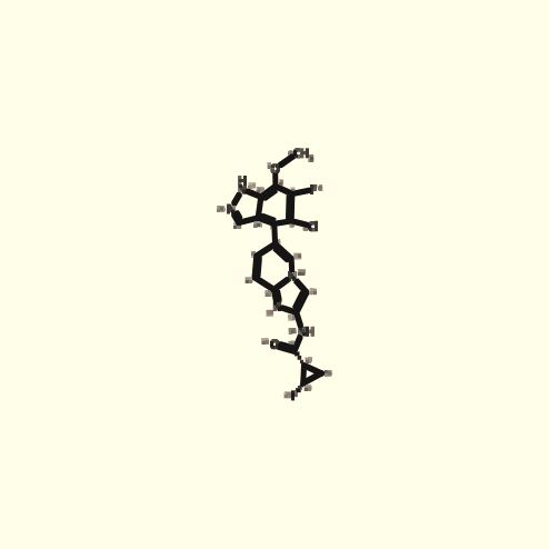 COc1c(F)c(Cl)c(-c2ccc3nc(NC(=O)[C@@H]4C[C@@H]4F)cn3c2)c2cn[nH]c12